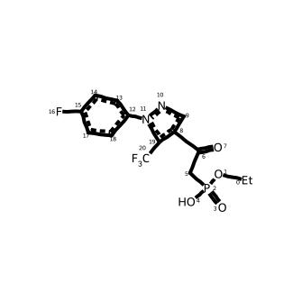 CCOP(=O)(O)CC(=O)c1cnn(-c2ccc(F)cc2)c1C(F)(F)F